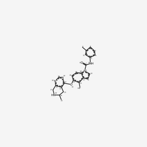 Cc1cccc(NC(=O)n2ccc3c(F)c(Oc4ncnc5c4CC(C)NC5)ccc32)c1